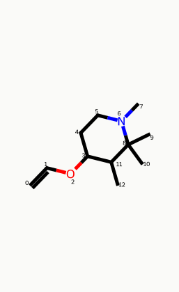 C=COC1CCN(C)C(C)(C)C1C